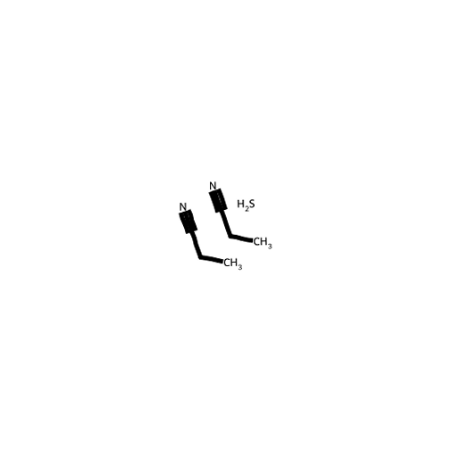 CCC#N.CCC#N.S